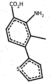 Cc1c(-c2cccs2)ccc(C(=O)O)c1N